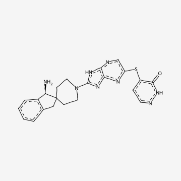 N[C@@H]1c2ccccc2CC12CCN(c1nc3nc(Sc4ccn[nH]c4=O)cnc3[nH]1)CC2